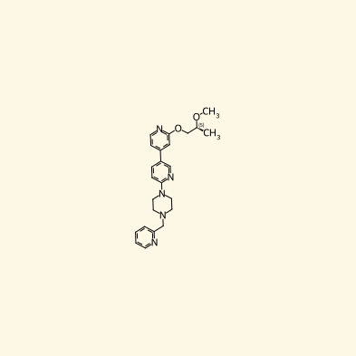 CO[C@@H](C)COc1cc(-c2ccc(N3CCN(Cc4ccccn4)CC3)nc2)ccn1